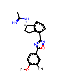 CC(=N)N[C@H]1CCc2c(-c3noc(-c4ccc(OC(C)C)c(C#N)c4)n3)cccc21